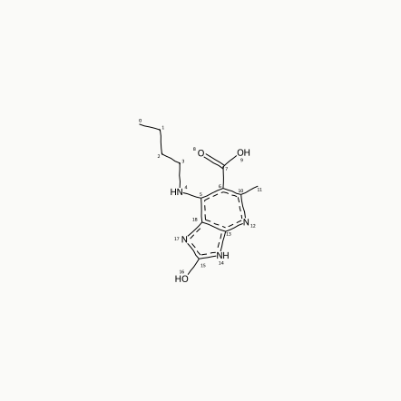 CCCCNc1c(C(=O)O)c(C)nc2[nH]c(O)nc12